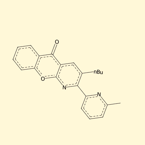 CCCCc1cc2c(=O)c3ccccc3oc2nc1-c1cccc(C)n1